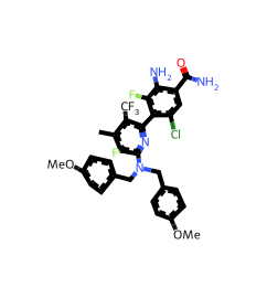 COc1ccc(CN(Cc2ccc(OC)cc2)c2nc(-c3c(Cl)cc(C(N)=O)c(N)c3F)c(C(F)(F)F)c(C)c2F)cc1